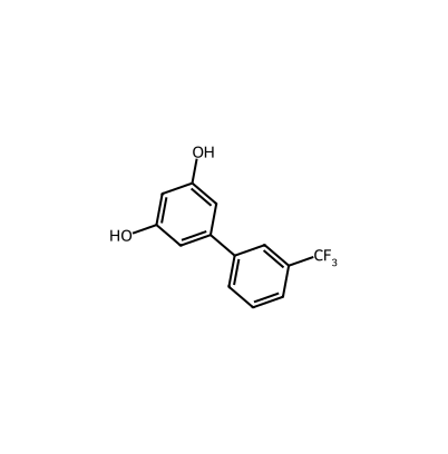 Oc1cc(O)cc(-c2cccc(C(F)(F)F)c2)c1